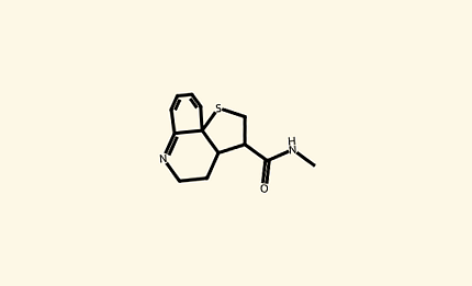 CNC(=O)C1CSC23C=CC=CC2=NCCC13